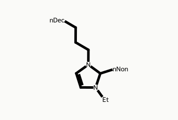 CCCCCCCCCCCCCN1C=CN(CC)C1CCCCCCCCC